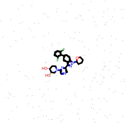 O[C@@H]1CCN(c2cncc(-c3nn(C4CCCCO4)c4ccc(-c5c(F)cccc5F)cc34)n2)C[C@@H]1O